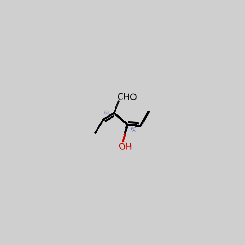 C/C=C(O)\C(C=O)=C/C